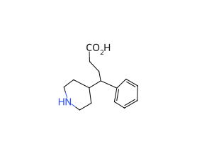 O=C(O)CCC(c1ccccc1)C1CCNCC1